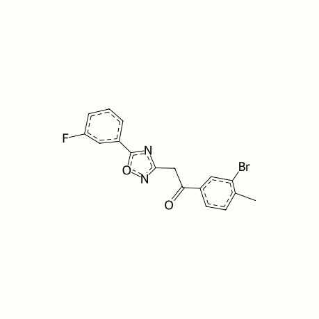 Cc1ccc(C(=O)Cc2noc(-c3cccc(F)c3)n2)cc1Br